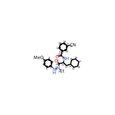 CCN(Nc1ccc(OC)cc1)C(=O)C(CC1CCCCC1)NC(=O)c1cccc(C#N)c1